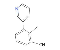 Cc1c(C#N)cccc1-c1cccnc1